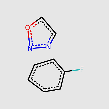 Fc1ccccc1.c1conn1